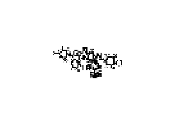 CC1CCN(C(=O)c2ccccc2-n2cnc(Cn3nc(-c4ccc(Cl)cc4)n(CC(O)C(F)(F)F)c3=O)n2)CC1